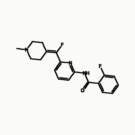 CN1CCC(=C(F)c2cccc(NC(=O)c3ccccc3F)n2)CC1